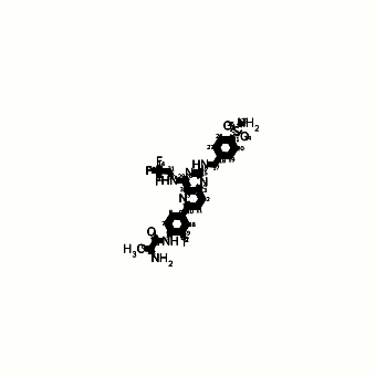 CC(N)C(=O)Nc1ccc(-c2ccc3nc(NCc4ccc(S(N)(=O)=O)cc4)nc(NCC(F)(F)F)c3n2)cc1F